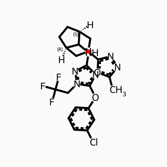 Cc1nnc(N2C[C@H]3CC[C@@H](C2)C3Nc2nc(Oc3cccc(Cl)c3)n(CC(F)(F)F)n2)o1